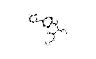 COC(=O)[C@H](C)Nc1ccc(-c2ccsc2)cc1